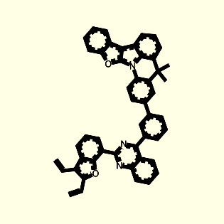 C=Cc1oc2c(-c3nc(-c4cccc(-c5ccc6c(c5)C(C)(C)c5cccc7c8c9ccccc9oc8n-6c57)c4)c4ccccc4n3)cccc2c1C=C